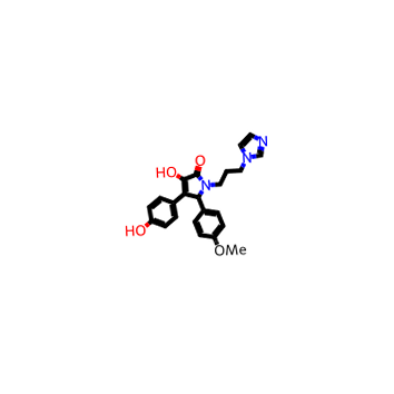 COc1ccc(C2C(c3ccc(O)cc3)=C(O)C(=O)N2CCCn2ccnc2)cc1